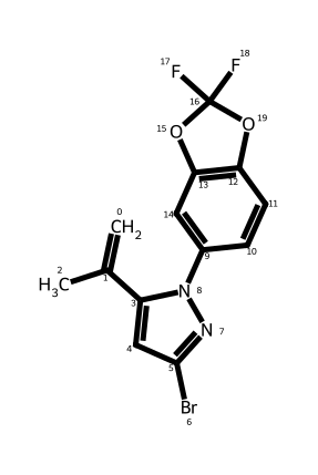 C=C(C)c1cc(Br)nn1-c1ccc2c(c1)OC(F)(F)O2